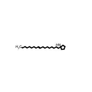 CCCCCCCC/C=C/CCCCCCCCC1([NH])CCCC1